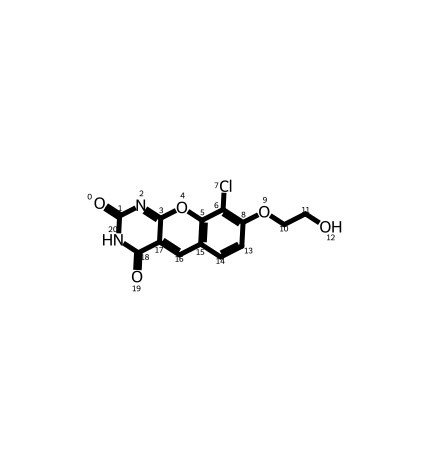 O=c1nc2oc3c(Cl)c(OCCO)ccc3cc-2c(=O)[nH]1